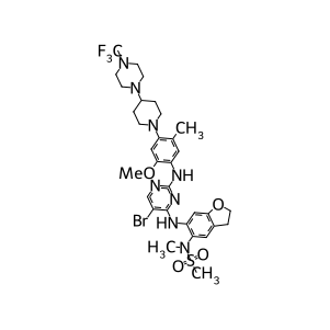 COc1cc(N2CCC(N3CCN(C(F)(F)F)CC3)CC2)c(C)cc1Nc1ncc(Br)c(Nc2cc3c(cc2N(C)S(C)(=O)=O)CCO3)n1